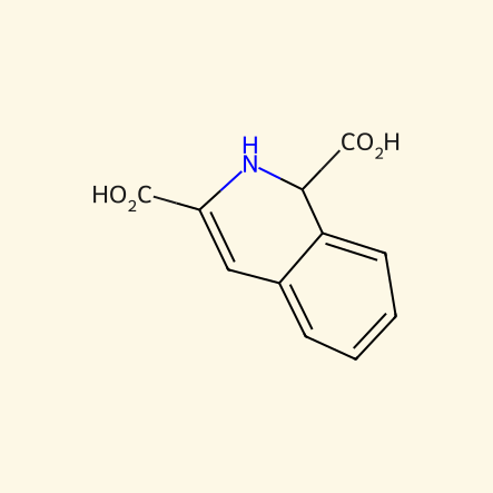 O=C(O)C1=Cc2ccccc2C(C(=O)O)N1